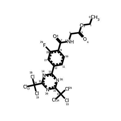 CCOC(=O)CNC(=O)c1ccc(-c2nc(C(Cl)(Cl)Cl)nc(C(Cl)(Cl)Cl)n2)cc1F